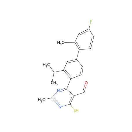 Cc1nc(S)c(C=O)c(-c2ccc(-c3ccc(F)cc3C)cc2C(C)C)n1